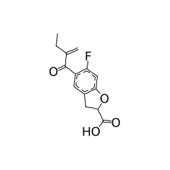 C=C(CC)C(=O)c1cc2c(cc1F)OC(C(=O)O)C2